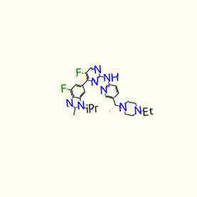 CCN1CCN([C@H](C)c2ccc(Nc3ncc(F)c(-c4cc(F)c5nc(C)n(C(C)C)c5c4)n3)nc2)CC1